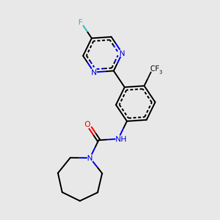 O=C(Nc1ccc(C(F)(F)F)c(-c2ncc(F)cn2)c1)N1CCCCCC1